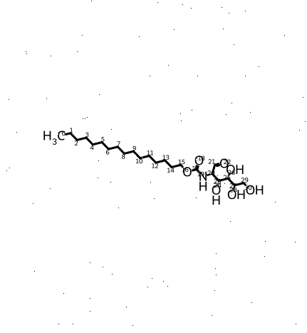 CCCCCCCCCCCCCCCCOC(=O)N[C@@H](C=O)[C@@H](O)[C@H](O)[C@H](O)CO